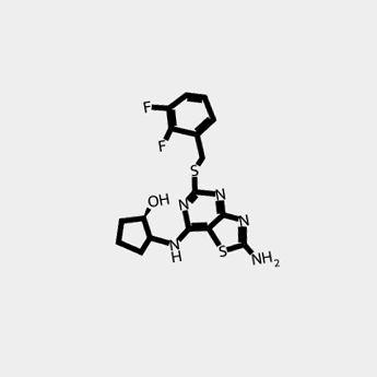 Nc1nc2nc(SCc3cccc(F)c3F)nc(NC3CCC[C@H]3O)c2s1